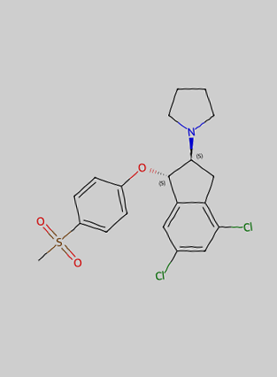 CS(=O)(=O)c1ccc(O[C@H]2c3cc(Cl)cc(Cl)c3C[C@@H]2N2CCCC2)cc1